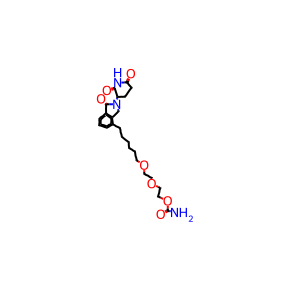 NC(=O)OCCOCCOCCCCCCc1cccc2c1CN(C1CCC(=O)NC1=O)C2=O